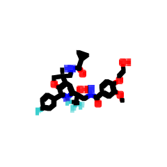 COc1cc(C(=O)NC[C@](O)(c2cc3c(c(-c4ccc(F)cc4)n2)OC[C@]3(C)CNC(=O)C2CC2)C(F)(F)F)ccc1OCCO